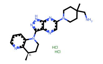 C[C@@H]1CCN(c2n[nH]c3nc(N4CCC(C)(CN)CC4)cnc23)c2cccnc21.Cl.Cl